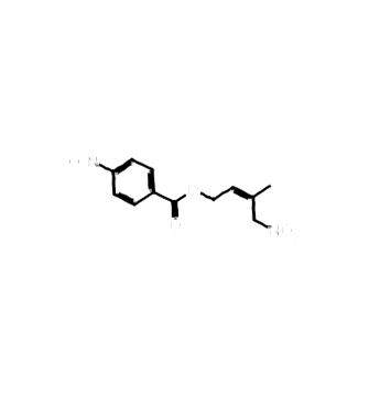 CC(=CCOC(=O)c1ccc([N+](=O)[O-])cc1)C[N+](=O)[O-]